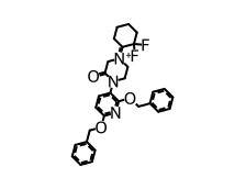 O=C1C/[N+](=C2\CCCCC2(F)F)CCN1c1ccc(OCc2ccccc2)nc1OCc1ccccc1